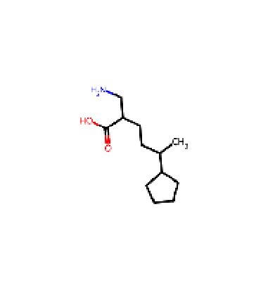 CC(CCC(CN)C(=O)O)C1CCCC1